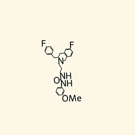 COc1cccc(NC(=O)NCCCN2Cc3ccc(F)cc3CC2Cc2ccc(F)cc2)c1